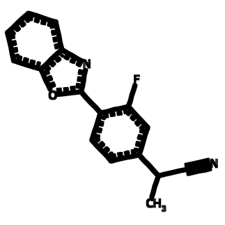 CC(C#N)c1ccc(-c2nc3ccccc3o2)c(F)c1